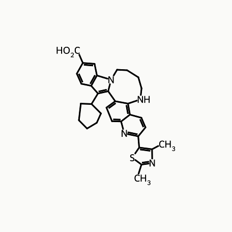 Cc1nc(C)c(-c2ccc3c4c(ccc3n2)-c2c(C3CCCCC3)c3ccc(C(=O)O)cc3n2CCCCN4)s1